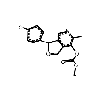 [CH2]OC(=O)Oc1c(C)ncc2c1CO[C@H]2c1ccc(Cl)cc1